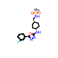 CC(C)(C)S(=O)(=O)NC[C@H]1CC[C@H](Nc2nnc(-c3cccc(F)c3)o2)CC1